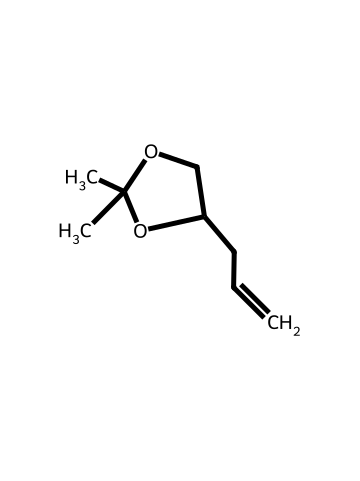 C=CCC1COC(C)(C)O1